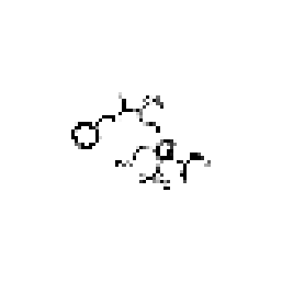 CCc1c([N+](=O)[O-])c(C(N)=O)nn1CCN(C)C(=O)OCc1ccccc1